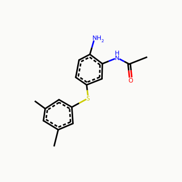 CC(=O)Nc1cc(Sc2cc(C)cc(C)c2)ccc1N